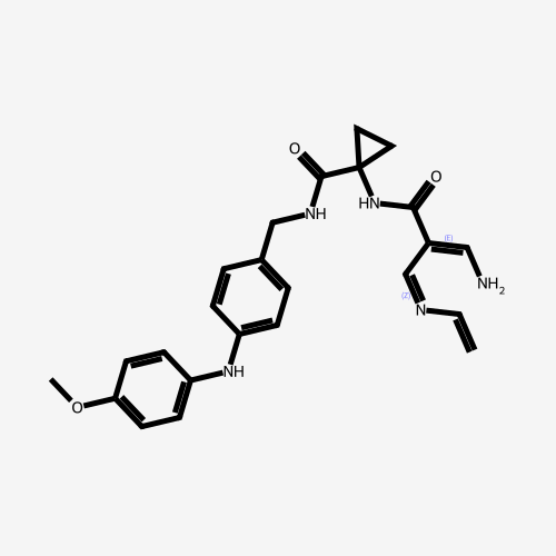 C=C/N=C\C(=C/N)C(=O)NC1(C(=O)NCc2ccc(Nc3ccc(OC)cc3)cc2)CC1